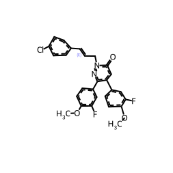 COc1ccc(-c2cc(=O)n(C/C=C/c3ccc(Cl)cc3)nc2-c2ccc(OC)c(F)c2)cc1F